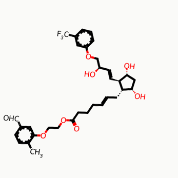 Cc1ccc(C=O)cc1OCCOC(=O)CCCC=CC[C@@H]1[C@@H](C=C[C@@H](O)COc2cccc(C(F)(F)F)c2)[C@H](O)C[C@@H]1O